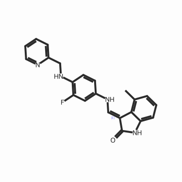 Cc1cccc2c1/C(=C\Nc1ccc(NCc3ccccn3)c(F)c1)C(=O)N2